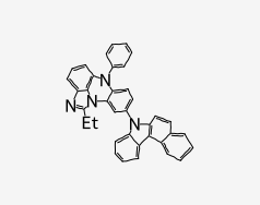 CCc1nc2cccc3c2n1-c1cc(-n2c4ccccc4c4c5ccccc5ccc42)ccc1N3c1ccccc1